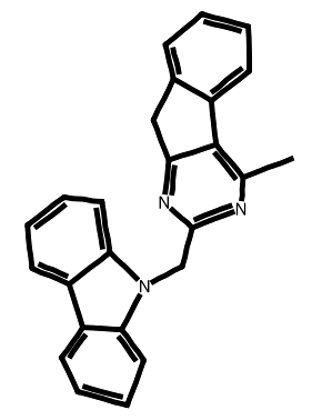 Cc1nc(Cn2c3ccccc3c3ccccc32)nc2c1-c1ccccc1C2